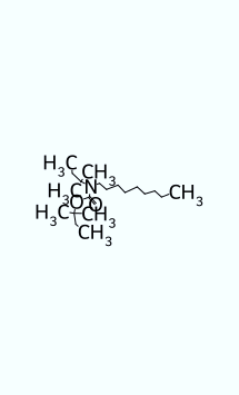 CCCCCCCCCN(C(=O)OC(C)(C)CC)C(C)(C)CC